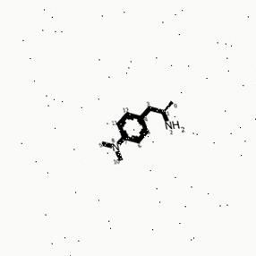 C[C@@H](N)Cc1ccc(N(C)C)cc1